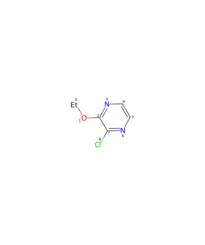 CCOc1nccnc1Cl